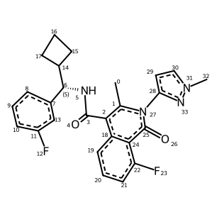 Cc1c(C(=O)N[C@H](c2cccc(F)c2)C2CCC2)c2cccc(F)c2c(=O)n1-c1ccn(C)n1